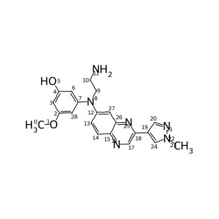 COc1cc(O)cc(N(CCN)c2ccc3ncc(-c4cnn(C)c4)nc3c2)c1